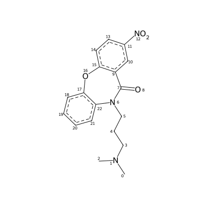 CN(C)CCCN1C(=O)c2cc([N+](=O)[O-])ccc2Oc2ccccc21